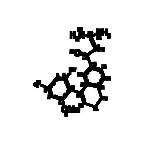 COc1cc(F)cc(F)c1C1=CCCc2ccc(C(=O)N=C(N)N)cc21